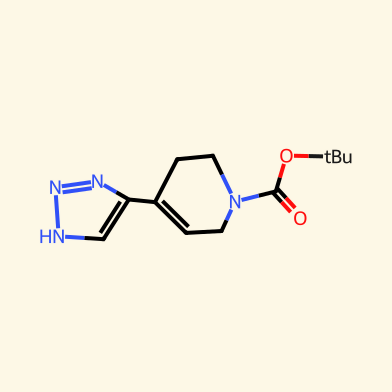 CC(C)(C)OC(=O)N1CC=C(c2c[nH]nn2)CC1